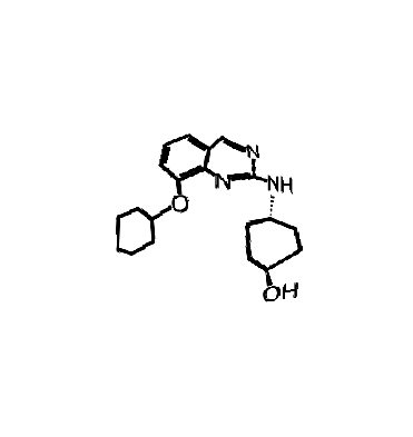 O[C@H]1CC[C@H](Nc2ncc3cccc(OC4CCCCC4)c3n2)CC1